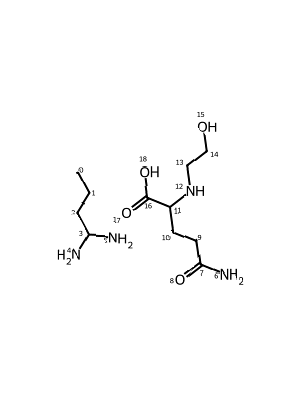 CCCC(N)N.NC(=O)CCC(NCCO)C(=O)O